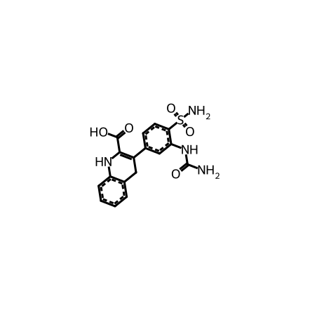 NC(=O)Nc1cc(C2=C(C(=O)O)Nc3ccccc3C2)ccc1S(N)(=O)=O